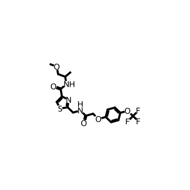 COCC(C)NC(=O)c1csc(CNC(=O)COc2ccc(OC(F)(F)F)cc2)n1